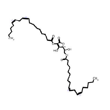 CCCCC/C=C\C/C=C\CCCCCCCC(=O)OC[C@H](O)[C@H]1OC(=O)C(OC(=O)CCCCCCC/C=C\C/C=C\CCCCC)=C1O